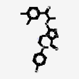 Cc1ccc(C(=O)C(C)Sc2nnc(C=O)n2/C=C\N(C)c2ccc(Br)cc2)cc1C